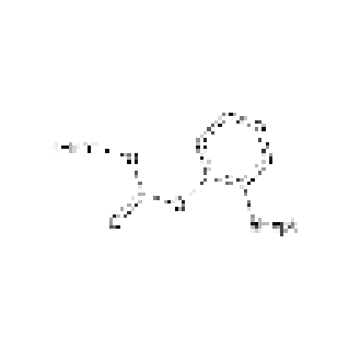 CCCCCCCOC(=O)Oc1ccccc1CCCCCCC